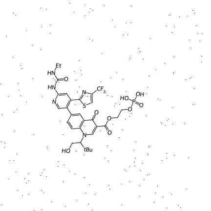 CCNC(=O)Nc1cc(-c2nc(C(F)(F)F)cs2)c(-c2ccc3c(c2)c(=O)c(C(=O)OCCOP(=O)(O)O)cn3C(CO)C(C)(C)C)cn1